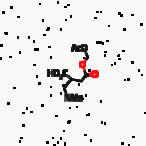 CNCC(CC(=O)OCOC(C)=O)C(=O)O